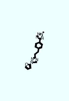 Cn1nnc(-c2ccc(CCc3ncn(-c4ccco4)n3)cc2)n1